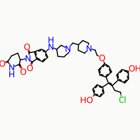 O=C1CCC(N2C(=O)c3ccc(NC4CCCN(CC5CCN(CCOc6ccc(C(=C(CCCl)c7ccc(O)cc7)c7ccc(O)cc7)cc6)CC5)C4)cc3C2=O)C(=O)N1